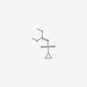 CSC(=NS(=O)(=O)C1CC1)SC